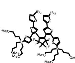 COCCCS(CCCOC)(CCCOC)c1ccc(-c2sc(-c3ccc(C(C)(C)C)s3)cc2C2=C(c3cc(-c4ccc(C(C)(C)C)s4)sc3-c3ccc(S(CCCOC)(CCCOC)CCCOC)s3)C(F)(F)C(F)(F)C2(F)F)s1